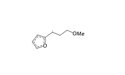 COCC[CH]c1ccco1